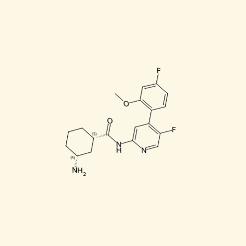 COc1cc(F)ccc1-c1cc(NC(=O)[C@H]2CCC[C@@H](N)C2)ncc1F